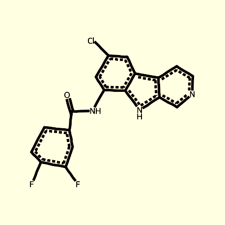 O=C(Nc1cc(Cl)cc2c1[nH]c1cnccc12)c1ccc(F)c(F)c1